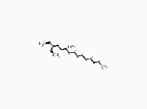 C=CN(C=C)CCCCCCCCCCCC.Cl